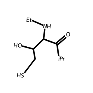 CCNC(C(=O)C(C)C)C(O)CS